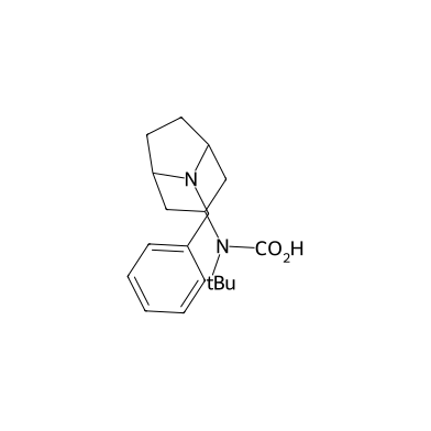 CC(C)(C)N(C(=O)O)C1CC2CCC(C1)N2Cc1ccccc1